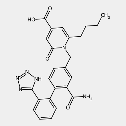 CCCCc1cc(C(=O)O)cc(=O)n1Cc1ccc(-c2ccccc2-c2nnn[nH]2)c(C(N)=O)c1